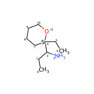 CCC(N)[Si]1(CC)CCCCO1